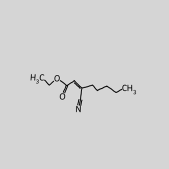 CCCCCC(C#N)=CC(=O)OCC